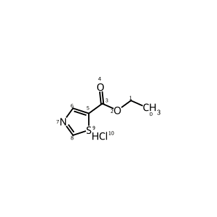 CCOC(=O)c1cncs1.Cl